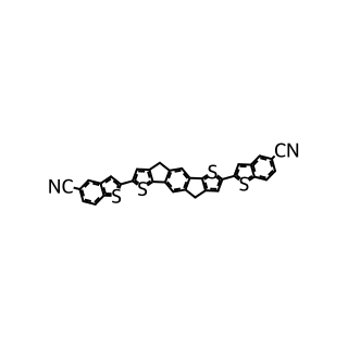 N#Cc1ccc2sc(-c3cc4c(s3)-c3cc5c(cc3C4)-c3sc(-c4cc6cc(C#N)ccc6s4)cc3C5)cc2c1